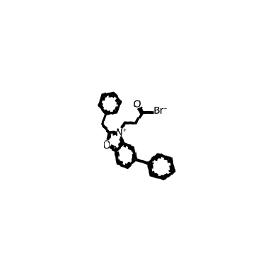 CC(=O)CC[n+]1c(Cc2ccccc2)oc2ccc(-c3ccccc3)cc21.[Br-]